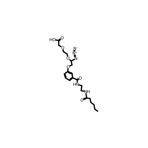 CCCCCC(=O)NCCNC(=O)c1cccc(OCC(N=[N+]=[N-])OCCOCC(=O)O)c1